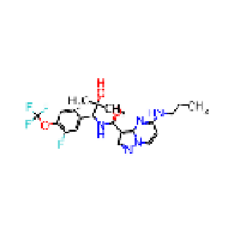 CCCNc1ccn2ncc(C(=O)NC(c3ccc(OC(F)(F)F)c(F)c3)C(C)(C)O)c2n1